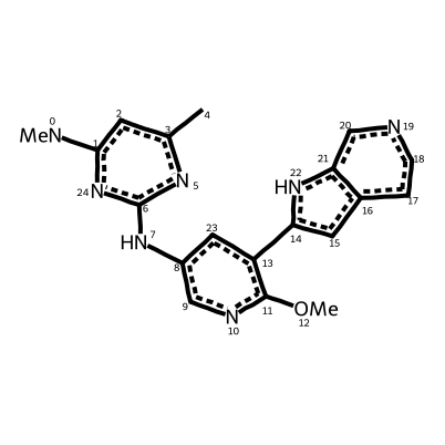 CNc1cc(C)nc(Nc2cnc(OC)c(-c3cc4ccncc4[nH]3)c2)n1